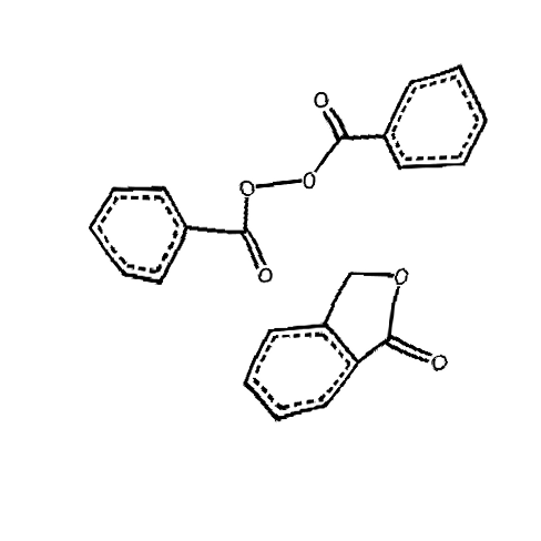 O=C(OOC(=O)c1ccccc1)c1ccccc1.O=C1OCc2ccccc21